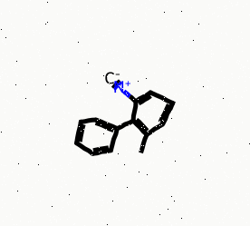 [C-]#[N+]c1cccc(C)c1-c1ccccc1